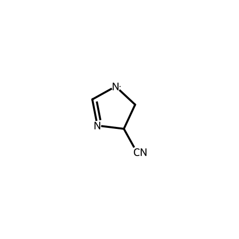 N#CC1C[N]C=N1